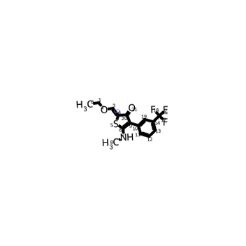 CCO/C=C1\SC(NC)=C(c2cccc(C(F)(F)F)c2)C1=O